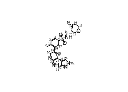 Cc1ccc(S(=O)(=O)NC[C@H]2COCCN2C)cc1-c1cnc(N)c(-c2cn(C)nc2C)n1